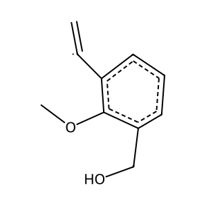 C=[C]c1cccc(CO)c1OC